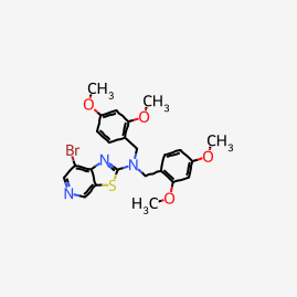 COc1ccc(CN(Cc2ccc(OC)cc2OC)c2nc3c(Br)cncc3s2)c(OC)c1